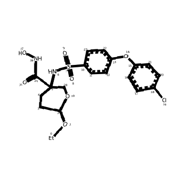 CCOC1CCC(NS(=O)(=O)c2ccc(Oc3ccc(Cl)cc3)cc2)(C(=O)NO)CO1